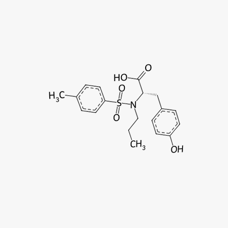 CCCN([C@@H](Cc1ccc(O)cc1)C(=O)O)S(=O)(=O)c1ccc(C)cc1